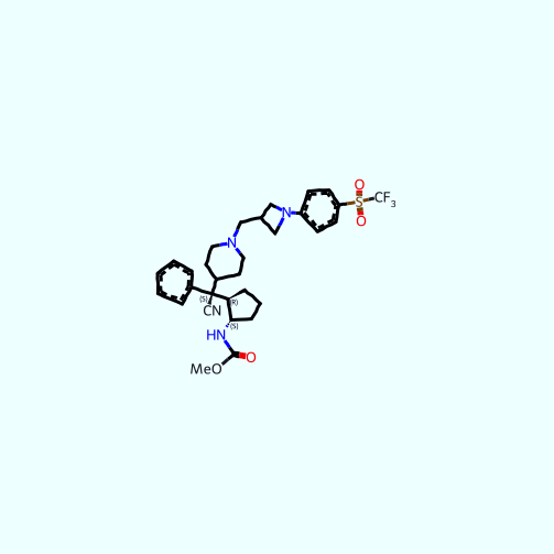 COC(=O)N[C@H]1CCC[C@@H]1[C@](C#N)(c1ccccc1)C1CCN(CC2CN(c3ccc(S(=O)(=O)C(F)(F)F)cc3)C2)CC1